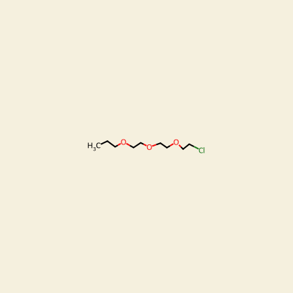 CCCOCCOCCOCCCl